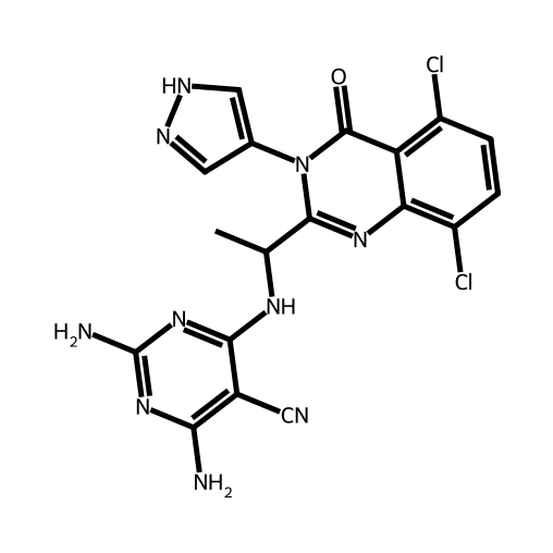 CC(Nc1nc(N)nc(N)c1C#N)c1nc2c(Cl)ccc(Cl)c2c(=O)n1-c1cn[nH]c1